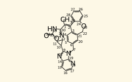 CC(=C1c2ccc(Cn3c(C4CC4)nc4cccnc43)cc2COc2ccccc21)c1noc(=O)[nH]1